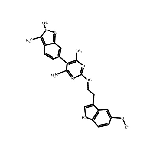 CCOc1ccc2[nH]cc(CCNc3nc(C)c(-c4ccc5c(C)n(C)nc5c4)c(N)n3)c2c1